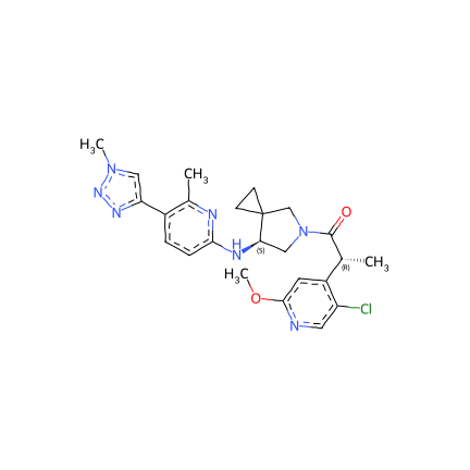 COc1cc([C@@H](C)C(=O)N2C[C@@H](Nc3ccc(-c4cn(C)nn4)c(C)n3)C3(CC3)C2)c(Cl)cn1